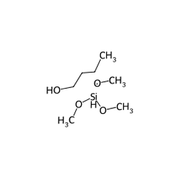 CCCCO.CO[SiH](OC)OC